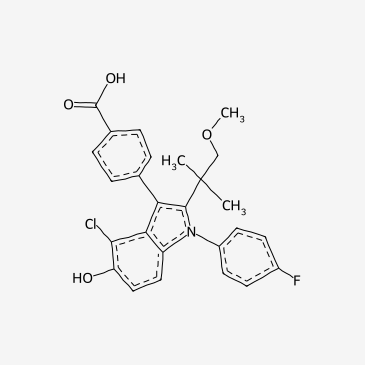 COCC(C)(C)c1c(-c2ccc(C(=O)O)cc2)c2c(Cl)c(O)ccc2n1-c1ccc(F)cc1